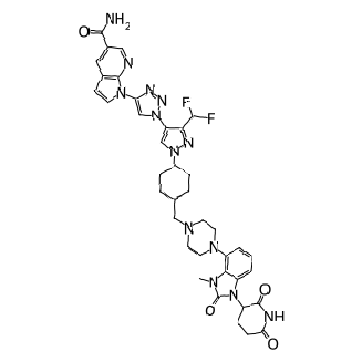 Cn1c(=O)n(C2CCC(=O)NC2=O)c2cccc(N3CCN(CC4CCC(n5cc(-n6cc(-n7ccc8cc(C(N)=O)cnc87)nn6)c(C(F)F)n5)CC4)CC3)c21